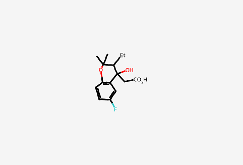 CCC1C(C)(C)Oc2ccc(F)cc2C1(O)CC(=O)O